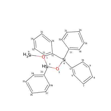 [SiH3]O[SiH](O[Si](c1ccccc1)(c1ccccc1)c1ccccc1)c1ccccc1